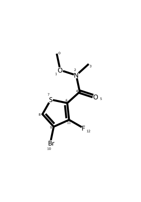 CON(C)C(=O)c1scc(Br)c1F